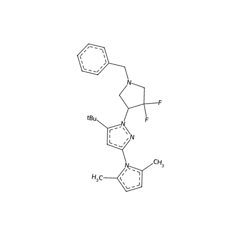 Cc1ccc(C)n1-c1cc(C(C)(C)C)n(C2CN(Cc3ccccc3)CC2(F)F)n1